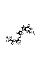 CCCCC(OC(=O)[C@@H](N)C(C)C)C(=O)OC[C@H]1O[C@@H](n2cnc3c(=O)[nH]c(N)nc32)C[C@@H]1F